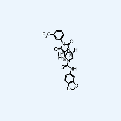 O=C1[C@@H]2[C@@H]3C[C@@H](CN3C(=S)Nc3ccc4c(c3)OCO4)N2C(=O)N1c1cccc(C(F)(F)F)c1